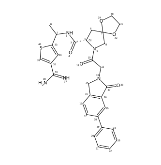 CC(NC(=O)[C@@H]1CC2(CN1C(=O)CN1Cc3ccc(-c4ccccc4)cc3C1=O)OCCO2)c1cc(C(=N)N)cs1